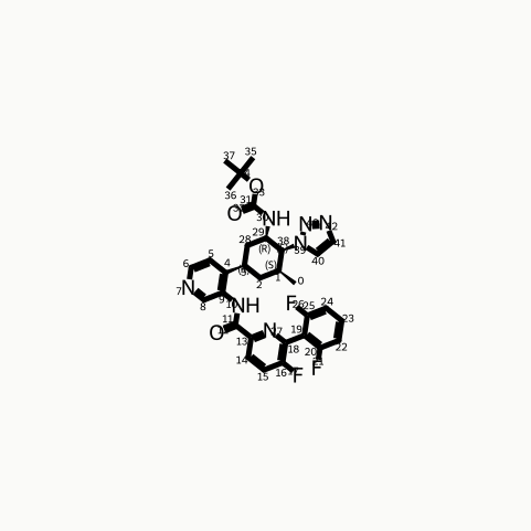 C[C@H]1C[C@@H](c2ccncc2NC(=O)c2ccc(F)c(-c3c(F)cccc3F)n2)C[C@@H](NC(=O)OC(C)(C)C)[C@H]1n1ccnn1